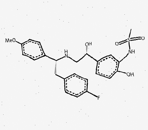 COc1ccc([C@@H](Cc2ccc(F)cc2)NC[C@H](O)c2ccc(O)c(NS(C)(=O)=O)c2)cc1